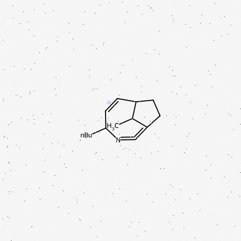 CCCCC1/C=C\C2CCC(=C=N1)C2C